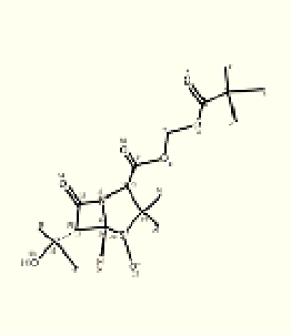 CC(C)(C)C(=O)OCOC(=O)[C@@H]1N2C(=O)[C@@H](C(C)(C)O)[C@H]2[S+]([O-])C1(C)C